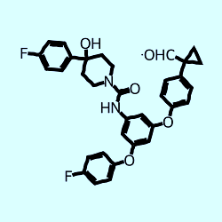 O=[C]C1(c2ccc(Oc3cc(NC(=O)N4CCC(O)(c5ccc(F)cc5)CC4)cc(Oc4ccc(F)cc4)c3)cc2)CC1